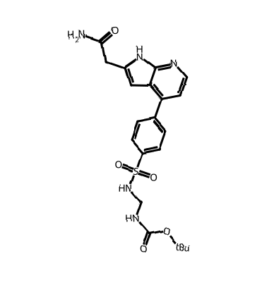 CC(C)(C)OC(=O)NCNS(=O)(=O)c1ccc(-c2ccnc3[nH]c(CC(N)=O)cc23)cc1